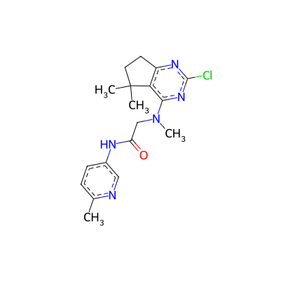 Cc1ccc(NC(=O)CN(C)c2nc(Cl)nc3c2C(C)(C)CC3)cn1